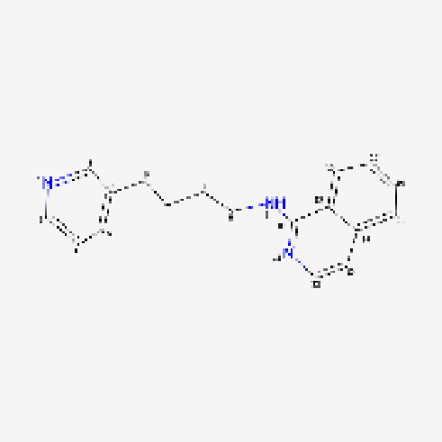 c1cncc(CCCCNc2nccc3ccccc23)c1